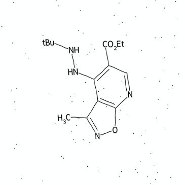 CCOC(=O)c1cnc2onc(C)c2c1NNC(C)(C)C